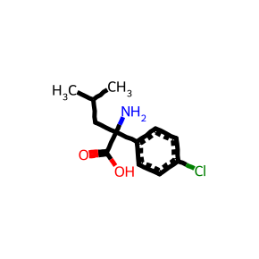 CC(C)CC(N)(C(=O)O)c1ccc(Cl)cc1